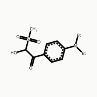 CCN(CC)c1ccc(C(=O)C(O)S(C)(=O)=O)cc1